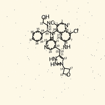 N#Cc1cnc2c(Cl)cc(N[C@H](C3=CN(C4COC4)NN3)c3cccnc3)cc2c1N[C@H](CCO)c1ccccc1